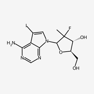 CC1(F)C(n2cc(I)c3c(N)ncnc32)O[C@H](CO)[C@H]1O